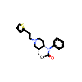 CCC(=O)N(c1ccccc1)[C@H]1CCN(CCc2cccs2)C[C@H]1C